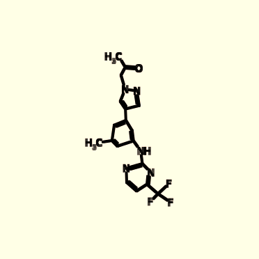 CC(=O)Cn1cc(-c2cc(C)cc(Nc3nccc(C(F)(F)F)n3)c2)cn1